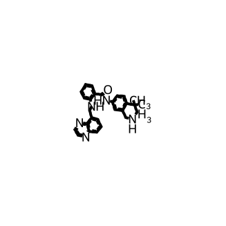 CC1(C)CNCc2cc(NC(=O)c3ccccc3NCc3cccc4nccnc34)ccc21